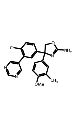 COc1ccc(C2(c3ccc(Cl)c(-c4cncnc4)c3)COC(N)=N2)cc1C